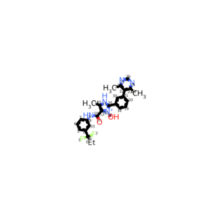 CCC(F)(F)c1cccc(NC(=O)c2c(C)[nH]c(-c3cccc(-c4c(C)ncnc4C)c3)[n+]2O)c1